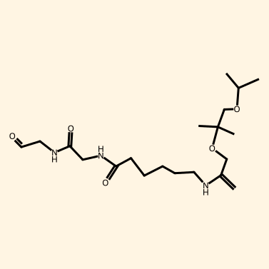 C=C(COC(C)(C)COC(C)C)NCCCCCC(=O)NCC(=O)NCC=O